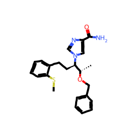 CSc1ccccc1CC[C@H]([C@H](C)OCc1ccccc1)n1cnc(C(N)=O)c1